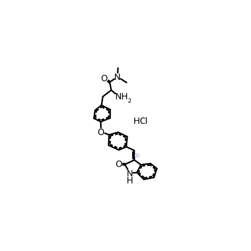 CN(C)C(=O)C(N)Cc1ccc(Oc2ccc(/C=C3\C(=O)Nc4ccccc43)cc2)cc1.Cl